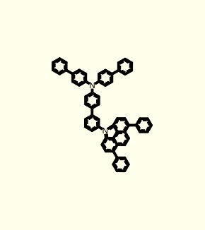 c1ccc(-c2ccc(N(c3ccc(-c4ccccc4)cc3)c3ccc(-c4cccc(-n5c6ccc(-c7ccccc7)c7ccc8c(-c9ccccc9)ccc5c8c76)c4)cc3)cc2)cc1